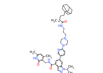 Cc1cc(C)c(CNC(=O)c2cc(-c3ccc(N4CCN(CCCNC(=O)[C@H](C)CCC56CC7CC(CC(C7)C5)C6)CC4)nc3)cc3c2cnn3C(C)C)c(=O)[nH]1